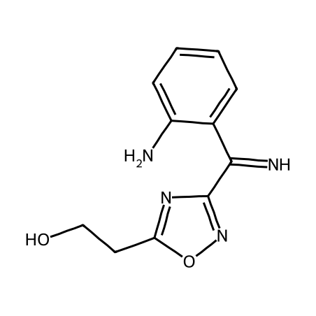 N=C(c1noc(CCO)n1)c1ccccc1N